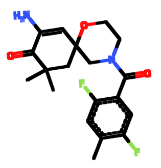 Cc1cc(F)c(C(=O)N2CCOC3(C=C(N)C(=O)C(C)(C)C3)C2)cc1F